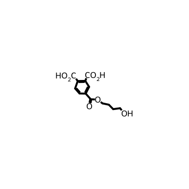 O=C(OCCCCO)c1ccc(C(=O)O)c(C(=O)O)c1